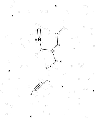 [C-]#[N+]CCCC(CCC)C[N+]#[C-]